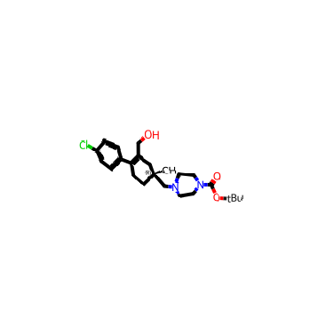 CC(C)(C)OC(=O)N1CCN(C[C@]2(C)CCC(c3ccc(Cl)cc3)=C(CO)C2)CC1